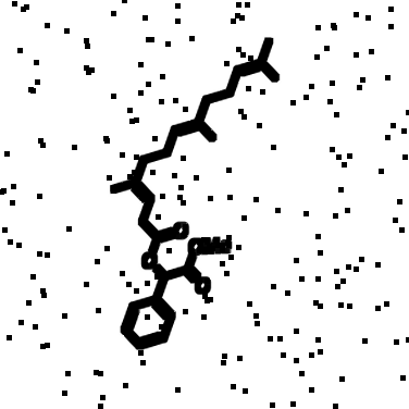 COC(=O)C(OC(=O)C/C=C(\C)CC/C=C(\C)CCC=C(C)C)c1ccccc1